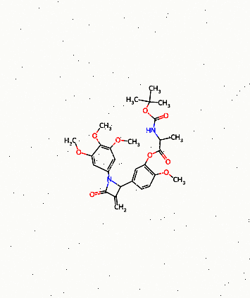 C=C1C(=O)N(c2cc(OC)c(OC)c(OC)c2)C1c1ccc(OC)c(OC(=O)C(C)NC(=O)OC(C)(C)C)c1